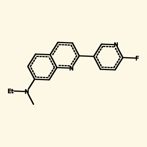 CCN(C)c1ccc2ccc(-c3ccc(F)nc3)nc2c1